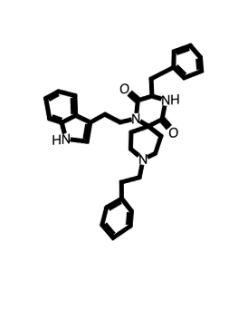 O=C1C(Cc2ccccc2)NC(=O)C2(CCN(CCc3ccccc3)CC2)N1CCc1c[nH]c2ccccc12